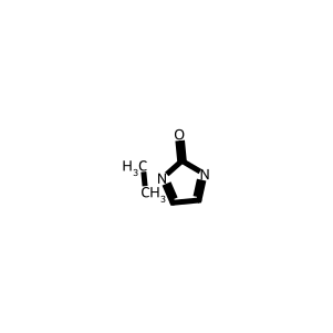 CC.O=C1N=CC=N1